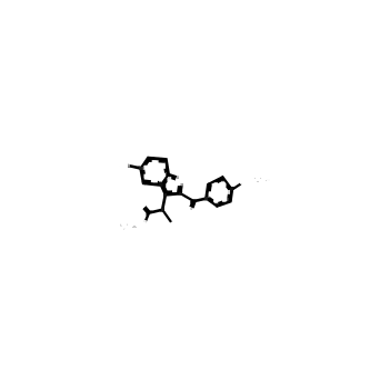 COC(=O)C(C)c1c(C(=O)c2ccc(OC)cc2)oc2ccc(Cl)cc12